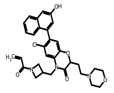 C=CC(=O)N1CC(CN2C(=O)C(CCN3CCOCC3)Oc3cc(-c4cc(O)cc5ccccc45)c(Cl)cc32)C1